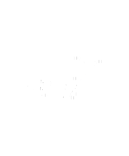 C[C@H](CCCC(=O)c1nc2ccccc2n1C)[C@H]1CC[C@H]2/C(=C/C=C3C[C@@H](O)C[C@H](O)C3)CCC[C@]12C